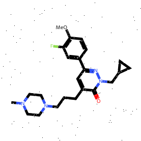 COc1ccc(-c2cc(CCCN3CCN(C)CC3)c(=O)n(CC3CC3)n2)cc1F